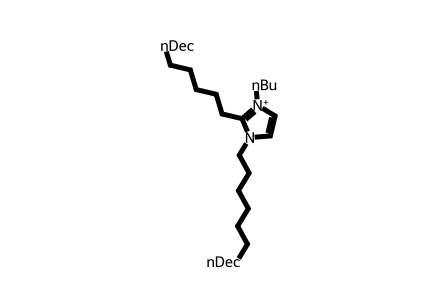 CCCCCCCCCCCCCCCCn1cc[n+](CCCC)c1CCCCCCCCCCCCCCC